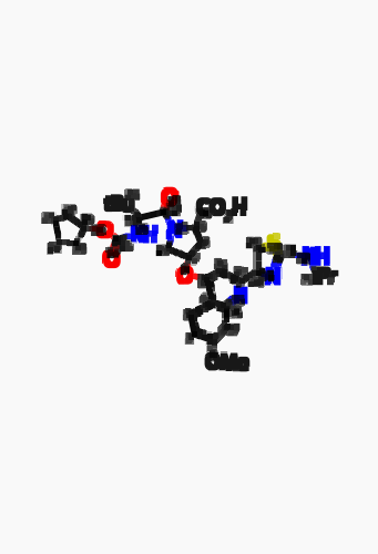 COc1ccc2c(OC3CC(C(=O)O)N(C(=O)C(NC(=O)OC4CCCC4)C(C)(C)C)C3)cc(-c3csc(NC(C)C)n3)nc2c1